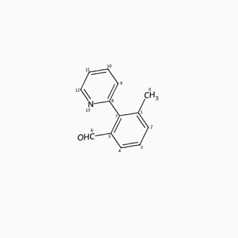 Cc1cccc(C=O)c1-c1ccccn1